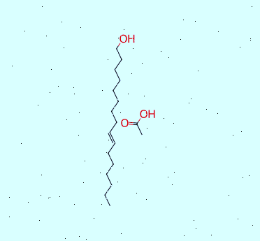 CC(=O)O.CCCCCCC=CCCCCCCCCO